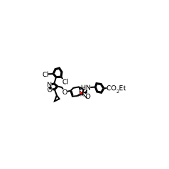 CCOC(=O)c1ccc(NC(=O)N2C3CC(OCc4c(-c5c(Cl)cccc5Cl)noc4C4CC4)=CC2[C@H](C)C3)cc1